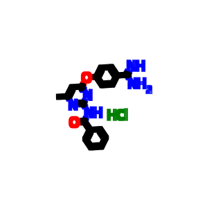 Cc1cc(Oc2ccc(C(=N)N)cc2)nc(NC(=O)c2ccccc2)n1.Cl